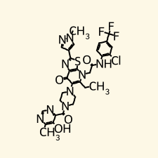 CCc1c(N2CCN(C(=O)c3ncnc(C)c3O)CC2)c(=O)c2nc(-c3cnn(C)c3)sc2n1CC(=O)Nc1ccc(C(F)(F)F)cc1Cl